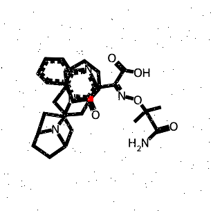 CC(C)(O/N=C(\C(=O)O)c1nc2ccccc2n(C2CC3CCC(C2)N3C2CC3CCCCC(C3)C2)c1=O)C(N)=O